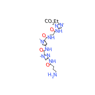 CCOC(=O)c1nc(NC(=O)CCNC(=O)c2cc(NC(=O)c3nc(NC(=O)CCCN)cn3C)cn2C)cn1C